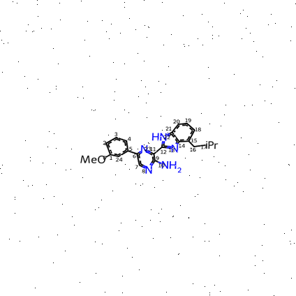 COc1cccc(-c2cnc(N)c(-c3nc4c(CC(C)C)cccc4[nH]3)n2)c1